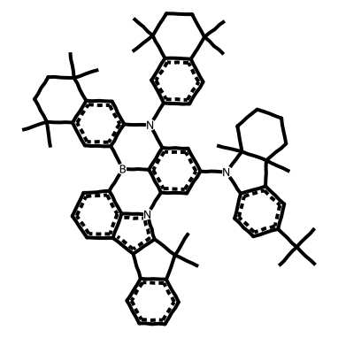 CC(C)(C)c1ccc2c(c1)C1(C)CCCCC1(C)N2c1cc2c3c(c1)-n1c4c(c5cccc(c51)B3c1cc3c(cc1N2c1ccc2c(c1)C(C)(C)CCC2(C)C)C(C)(C)CCC3(C)C)-c1ccccc1C4(C)C